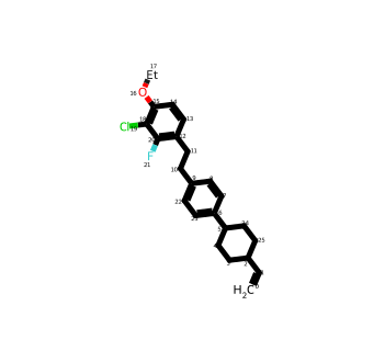 C=CC1CCC(c2ccc(CCc3ccc(OCC)c(Cl)c3F)cc2)CC1